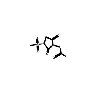 CC(=O)ON1C(=O)C[C@H](S(C)(=O)=O)C1=O